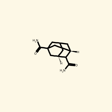 NC(=O)C1[C@@H]2CC3C[C@H]1CC(C(N)=O)(C3)C2